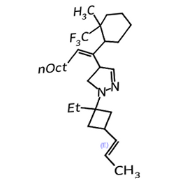 C/C=C/C1CC(CC)(N2CC(C(=CCCCCCCCC)C3CCCCC3(C)C(F)(F)F)C=N2)C1